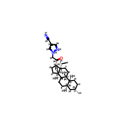 CC[C@]12CC[C@H]3[C@@H](CC[C@@H]4C[C@@H](C)CC[C@@H]43)[C@@H]1CC[C@@H]2C(=O)Cn1cc(C#N)cn1